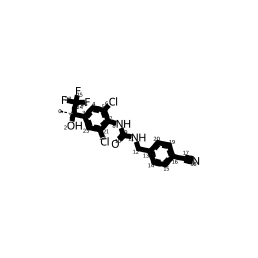 C[C@@](O)(c1cc(Cl)c(NC(=O)NCc2ccc(C#N)cc2)c(Cl)c1)C(F)(F)F